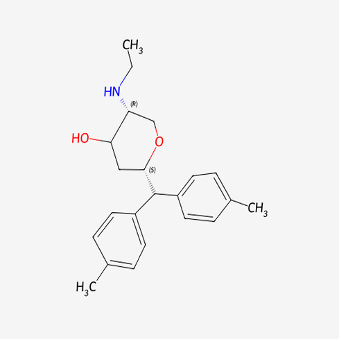 CCN[C@@H]1CO[C@H](C(c2ccc(C)cc2)c2ccc(C)cc2)CC1O